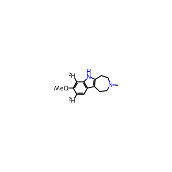 [2H]c1cc2c3c([nH]c2c([2H])c1OC)CCN(C)CC3